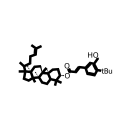 CC(C)=CCCC(C)C1(C)CCC2(C)[C@]1(C)CC[C@@]13C[C@@]14CC[C@H](OC(=O)/C=C/c1ccc(C(C)(C)C)c(CO)c1)C(C)(C)C4CC[C@@]23C